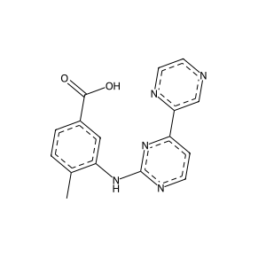 Cc1ccc(C(=O)O)cc1Nc1nccc(-c2cnccn2)n1